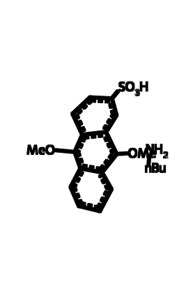 CCCCN.COc1c2ccccc2c(OC)c2cc(S(=O)(=O)O)ccc12